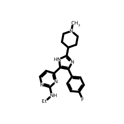 CCNc1nccc(-c2[nH]c(C3CCN(C)CC3)nc2-c2ccc(F)cc2)n1